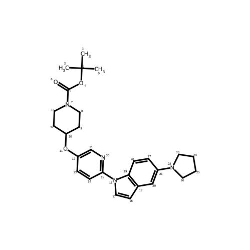 CC(C)(C)OC(=O)N1CCC(Oc2ccc(-n3ccc4cc(N5CCCC5)ccc43)nc2)CC1